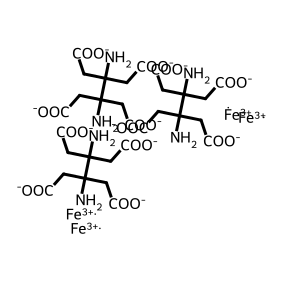 NC(CC(=O)[O-])(CC(=O)[O-])C(N)(CC(=O)[O-])CC(=O)[O-].NC(CC(=O)[O-])(CC(=O)[O-])C(N)(CC(=O)[O-])CC(=O)[O-].NC(CC(=O)[O-])(CC(=O)[O-])C(N)(CC(=O)[O-])CC(=O)[O-].[Fe+3].[Fe+3].[Fe+3].[Fe+3]